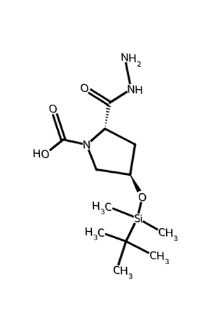 CC(C)(C)[Si](C)(C)O[C@@H]1C[C@@H](C(=O)NN)N(C(=O)O)C1